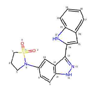 O=S1(=O)CCCN1c1ccc2[nH]nc(-c3cc4ccccc4[nH]3)c2c1